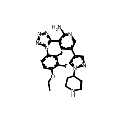 CCOc1ccc(-n2nnnc2-c2cc(-c3cnn(C4CCNCC4)c3)cnc2N)c(F)c1F